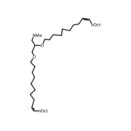 CCCCCCCC/C=C\CCCCCCCCOCC(CNC)OCCCCCCCC/C=C\CCCCCCCC